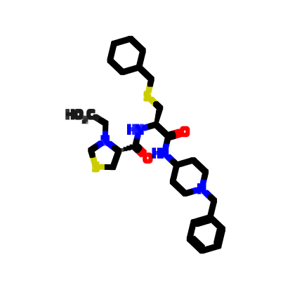 O=C(O)CN1CSC[C@H]1C(=O)N[C@@H](CSCC1CCCCC1)C(=O)NC1CCN(Cc2ccccc2)CC1